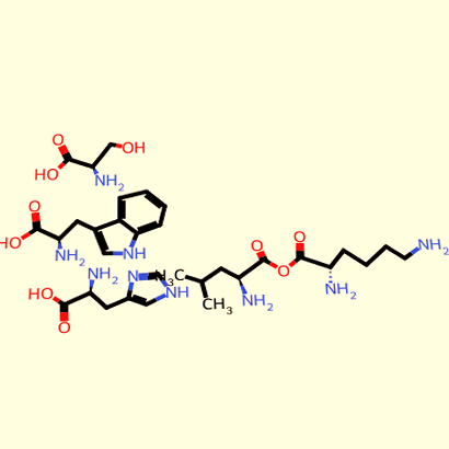 CC(C)C[C@H](N)C(=O)OC(=O)[C@@H](N)CCCCN.N[C@@H](Cc1c[nH]cn1)C(=O)O.N[C@H](CO)C(=O)O.N[C@H](Cc1c[nH]c2ccccc12)C(=O)O